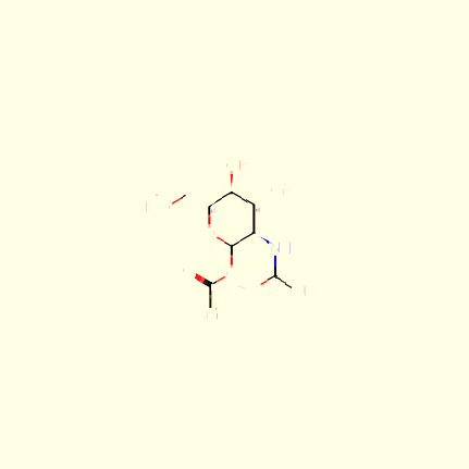 CCCC(=O)OC1O[C@H](CO)[C@@H](O)[C@H](O)[C@H]1NC(O)CCC